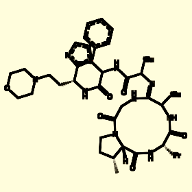 CC(C)[C@@H]1NC(=O)[C@@H]2[C@H](C)CCN2C(=O)CN/C(=N\C(C(=O)NC(C(=O)N[C@H](CCN2CCOCC2)c2nccs2)[C@@H](C)c2ccccc2)C(C)(C)C)C(C(C)(C)C)NC1=O